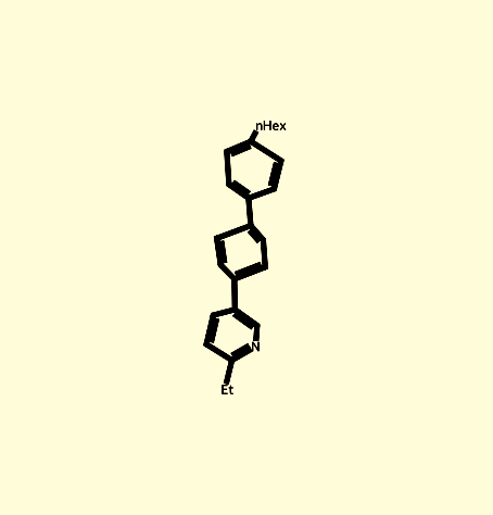 CCCCCCc1ccc(-c2ccc(-c3ccc(CC)nc3)cc2)cc1